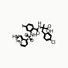 CC(Cc1ccc(Cl)cc1)(NC(=O)c1ccc(I)cc1NS(=O)(=O)C1=CC=CN2SNC=C12)C(=O)O